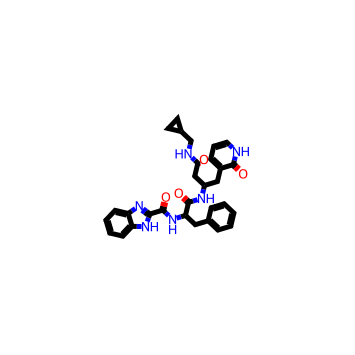 O=C(CC(Cc1ccc[nH]c1=O)NC(=O)C(Cc1ccccc1)NC(=O)c1nc2ccccc2[nH]1)NCC1CC1